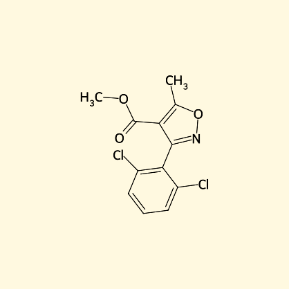 COC(=O)c1c(-c2c(Cl)cccc2Cl)noc1C